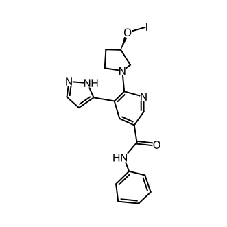 O=C(Nc1ccccc1)c1cnc(N2CC[C@@H](OI)C2)c(-c2ccn[nH]2)c1